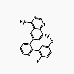 Nc1ncnc2ccc(-c3cccnc3-c3cc(OC(F)(F)F)ccc3F)cc12